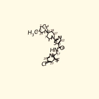 C[C@@H]1CCCN(C2CCN(c3ncc(C(=O)NCc4ncc(Cl)cc4F)s3)CC2)C1